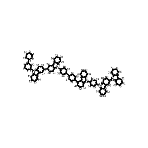 c1ccc(-c2cccc(-n3c4ccccc4c4cc(-c5ccc6c(c5)c5ccccc5n6-c5ccc(-c6ccc(-c7cccc8c7c7ccccc7n8-c7ccc(-n8c9ccccc9c9cc(-n%10c%11ccccc%11c%11ccccc%11%10)ccc98)cn7)cc6)cc5)ccc43)c2)cc1